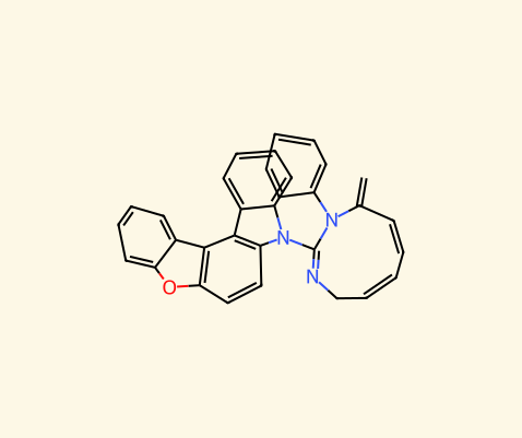 C=C1/C=C\C=C/C/N=C(/n2c3ccccc3c3c4c(ccc32)oc2ccccc24)N1c1ccccc1